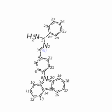 NC(/N=C/c1ccc(-n2c3ccccc3c3ccccc32)cc1)c1ccccc1